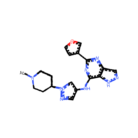 CC(=O)N1CCC(n2cc(Nc3nc(-c4ccoc4)nc4cn[nH]c34)cn2)CC1